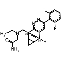 CCN(CC(N)=O)C[C@]12C=C[C@H](c3cc(-c4c(F)cccc4F)nnc31)C1CC12